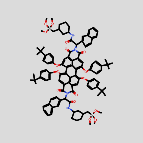 CO[Si](CC1CCCC(NC(=O)C(c2ccc3ccccc3c2)N2C(=O)c3cc(Oc4ccc(C(C)(C)C)cc4)c4c5c(Oc6ccc(C(C)(C)C)cc6)cc6c7c(cc(Oc8ccc(C(C)(C)C)cc8)c(c8c(Oc9ccc(C(C)(C)C)cc9)cc(c3c48)C2=O)c75)C(=O)N(C(C(=O)NC2CCCC(C[Si](OC)(OC)OC)C2)c2ccc3ccccc3c2)C6=O)C1)(OC)OC